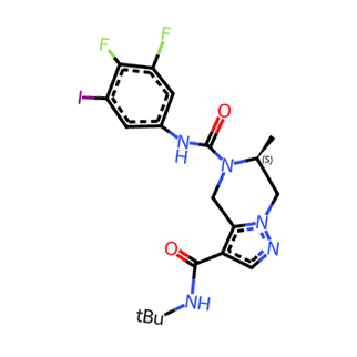 C[C@H]1Cn2ncc(C(=O)NC(C)(C)C)c2CN1C(=O)Nc1cc(F)c(F)c(I)c1